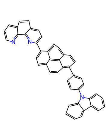 c1cnc2c(c1)ccc1ccc(-c3ccc4ccc5c(-c6ccc(-n7c8ccccc8c8ccccc87)cc6)ccc6ccc3c4c65)nc12